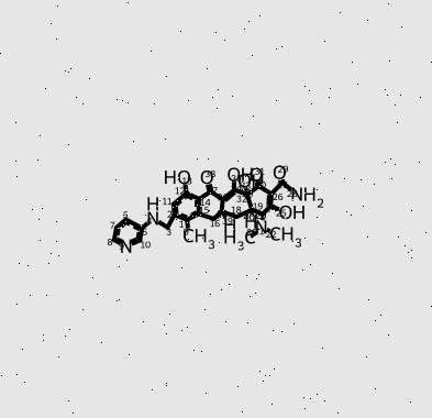 Cc1c(CNc2cccnc2)cc(O)c2c1C[C@H]1C[C@H]3[C@H](N(C)C)C(O)=C(C(N)=O)C(=O)[C@@]3(O)C(O)=C1C2=O